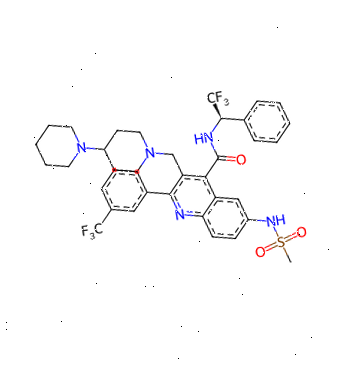 CS(=O)(=O)Nc1ccc2nc(-c3cccc(C(F)(F)F)c3)c(CN3CCC(N4CCCCC4)CC3)c(C(=O)N[C@H](c3ccccc3)C(F)(F)F)c2c1